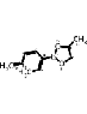 C=C/C=C\C(=C/C)B1OCC(C)O1